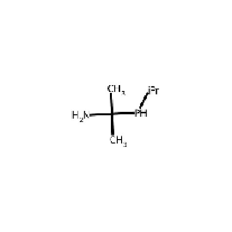 CC(C)PC(C)(C)N